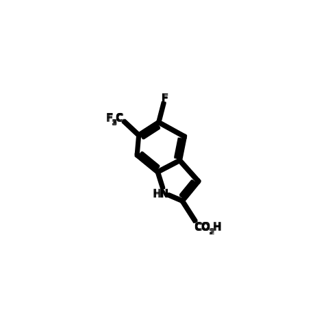 O=C(O)c1cc2cc(F)c(C(F)(F)F)cc2[nH]1